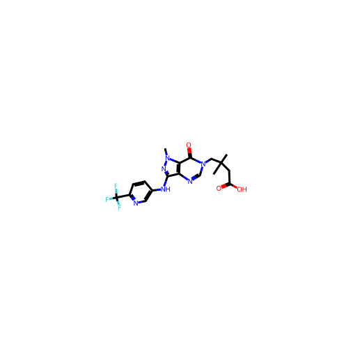 Cn1nc(Nc2ccc(C(F)(F)F)nc2)c2ncn(CC(C)(C)CC(=O)O)c(=O)c21